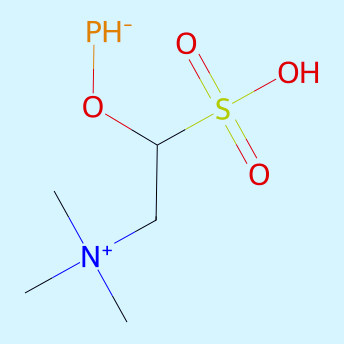 C[N+](C)(C)CC(O[PH-])S(=O)(=O)O